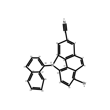 N#Cc1cc2ccc3c(Br)ccc4c3c2c(c1)n4-c1cccc2ccccc12